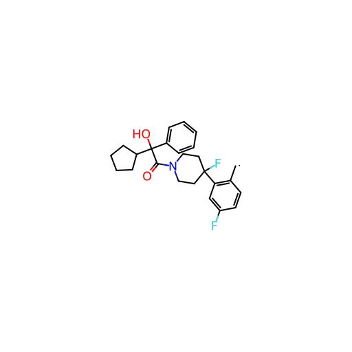 [CH2]c1ccc(F)cc1C1(F)CCN(C(=O)C(O)(c2ccccc2)C2CCCC2)CC1